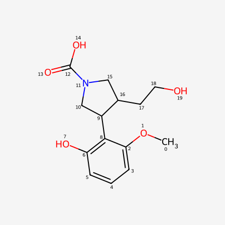 COc1cccc(O)c1C1CN(C(=O)O)CC1CCO